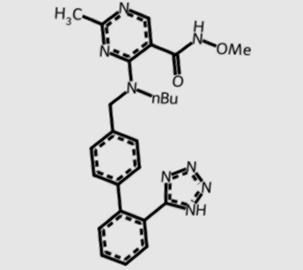 CCCCN(Cc1ccc(-c2ccccc2-c2nnn[nH]2)cc1)c1nc(C)ncc1C(=O)NOC